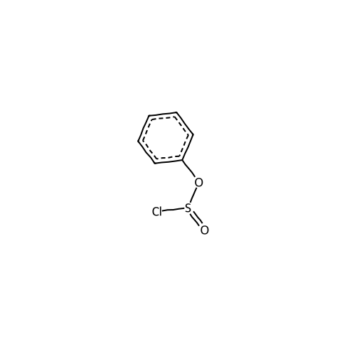 O=S(Cl)Oc1ccccc1